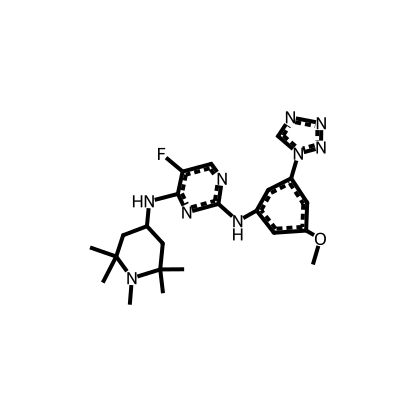 COc1cc(Nc2ncc(F)c(NC3CC(C)(C)N(C)C(C)(C)C3)n2)cc(-n2cnnn2)c1